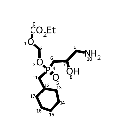 CCOC(=O)OCOP(=O)(CC(O)CN)CC1CCCCC1